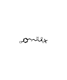 CC(C)(C)OC(=O)CNCCSCc1ccc(Cl)cc1